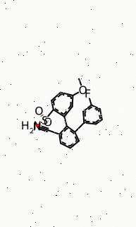 COc1ccc(S(N)(=O)=O)c(-c2c(C#N)cccc2-c2cccc(F)c2)c1